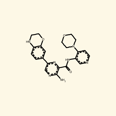 Nc1ncc(-c2ccc3c(c2)OCCN3)nc1C(=O)Nc1cnccc1N1CCOCC1